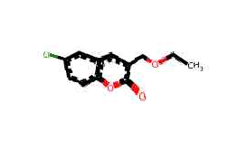 CCOCc1cc2cc(Cl)ccc2oc1=O